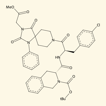 COC(=O)CN1C(=O)N(c2ccccc2)C2(CCN(C(=O)[C@@H](Cc3ccc(Cl)cc3)NC(=O)[C@H]3Cc4ccccc4CN3C(=O)OC(C)(C)C)CC2)C1=O